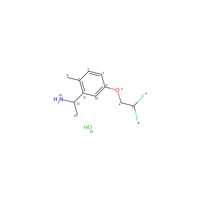 Cc1ccc(OCC(F)F)cc1C(C)N.Cl